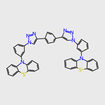 c1cc(N2c3ccccc3Sc3ccccc32)cc(-n2cc(-c3ccc(-c4cn(-c5cccc(N6c7ccccc7Sc7ccccc76)c5)nn4)cc3)nn2)c1